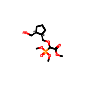 COC(=O)C(OC[C@@H]1CCC[C@@H]1CO)P(=O)(OC)OC